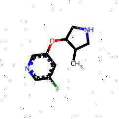 CC1CNCC1Oc1cncc(F)c1